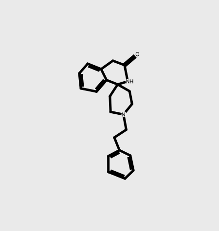 O=C1Cc2ccccc2C2(CCN(CCc3ccccc3)CC2)N1